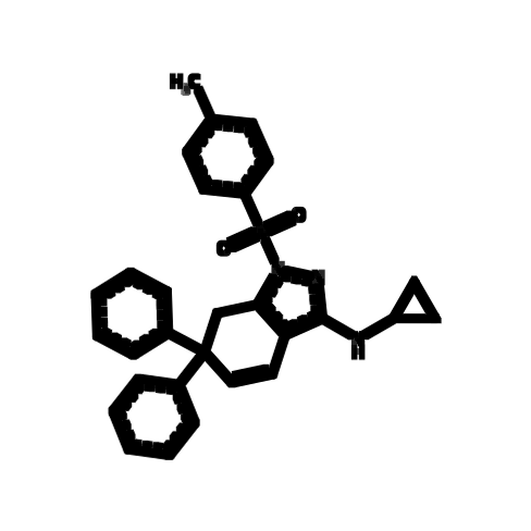 Cc1ccc(S(=O)(=O)n2nc(NC3CC3)c3c2CC(c2ccccc2)(c2ccccc2)C=C3)cc1